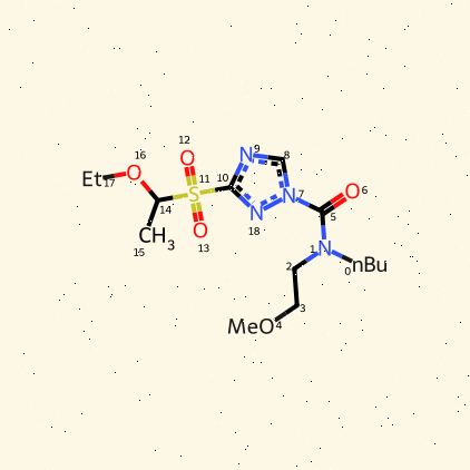 CCCCN(CCOC)C(=O)n1cnc(S(=O)(=O)C(C)OCC)n1